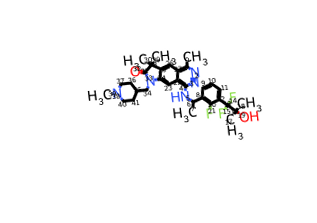 Cc1nnc(NC(C)c2cccc(C(F)(F)C(C)(C)O)c2F)c2cc3c(cc12)C(C)(C)C(=O)N3CC1CCN(C)CC1